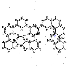 N=C1C=Cc2ccc3ccc(-c4nc(-c5cccc(-c6cccc(-c7ccccc7)c6)c5)cc(-c5cccc6oc7ccccc7c56)n4)cc3c2/C1=N/Nc1ccccc1